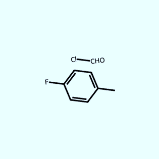 Cc1ccc(F)cc1.O=CCl